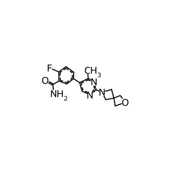 Cc1nc(N2CC3(COC3)C2)ncc1-c1ccc(F)c(C(N)=O)c1